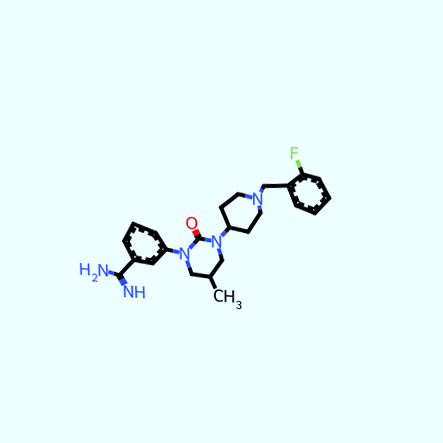 CC1CN(c2cccc(C(=N)N)c2)C(=O)N(C2CCN(Cc3ccccc3F)CC2)C1